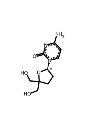 Nc1ccn([C@H]2CCC(CO)(CO)O2)c(=O)n1